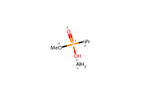 CCCP(=O)(O)OC.[AlH3]